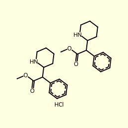 COC(=O)C(c1ccccc1)C1CCCCN1.COC(=O)C(c1ccccc1)C1CCCCN1.Cl